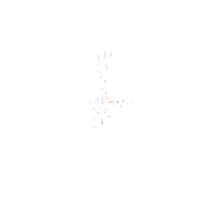 CCCCc1ccc(N2CCN(C(=O)Nc3nc4ccccc4nc3OC)CC2)cc1